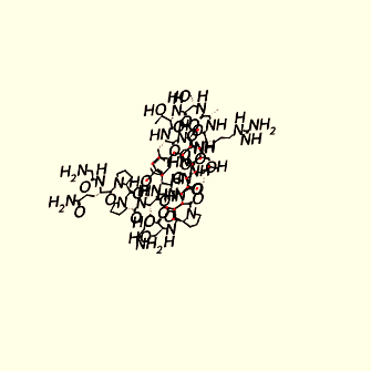 CC[C@H](C)[C@H](NC(=O)[C@H](CC(C)C)NC(=O)[C@H](CC(C)C)NC(=O)[C@H](CCCCN)NC(=O)[C@@H]1CCCN1C(=O)[C@@H]1CCCN1C(=O)[C@H](CCC(N)=O)NC(=O)CN)C(=O)N[C@@H](Cc1ccc(O)cc1)C(=O)N[C@@H](CCCNC(=N)N)C(=O)N[C@@H](C)C(=O)N[C@@H](CO)C(=O)N[C@H](C(=O)N[C@@H](CC(C)C)C(=O)N[C@@H](C)C(=O)N[C@@H](CO)C(=O)NCC(=O)N[C@H](C(=O)N1CCC[C@H]1C(=O)N[C@@H](CO)C(=O)O)C(C)C)[C@@H](C)O